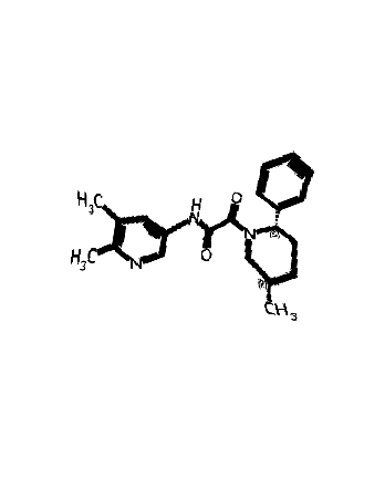 Cc1cc(NC(=O)C(=O)N2C[C@H](C)CC[C@H]2c2ccccc2)cnc1C